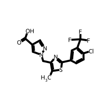 Cc1sc(-c2ccc(Cl)c(C(F)(F)F)c2)nc1Cn1cc(C(=O)O)cn1